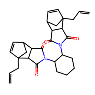 C=CCC12C=CC(C1)C1C(=O)N(C3CCCCC3N3C(=O)C4C5C=CC(CC=C)(C5)C4C3=O)C(=O)C12